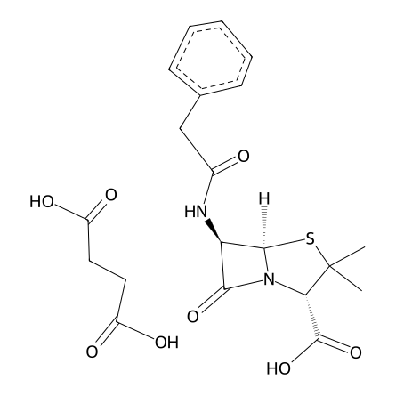 CC1(C)S[C@@H]2[C@H](NC(=O)Cc3ccccc3)C(=O)N2[C@H]1C(=O)O.O=C(O)CCC(=O)O